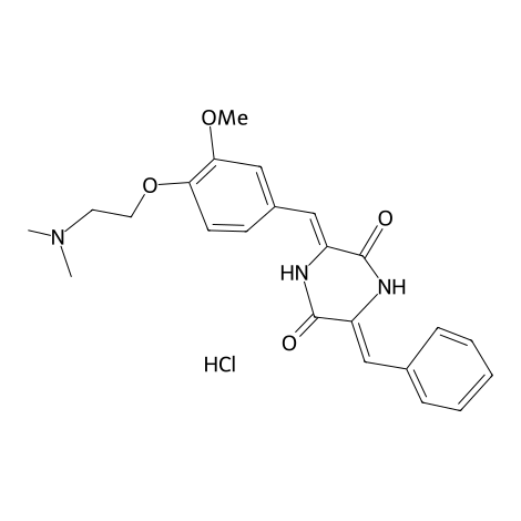 COc1cc(C=c2[nH]c(=O)c(=Cc3ccccc3)[nH]c2=O)ccc1OCCN(C)C.Cl